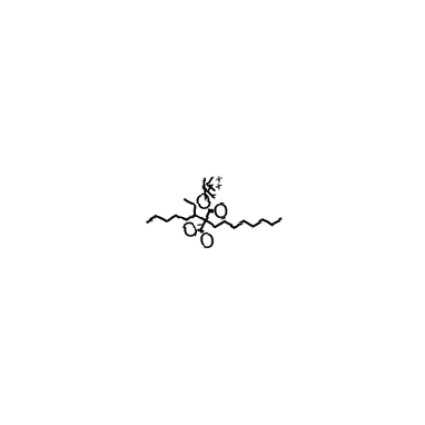 CCCCCCCCC(C(=O)[O-])(C(=O)[O-])C(CC)CCCCC.[K+].[K+]